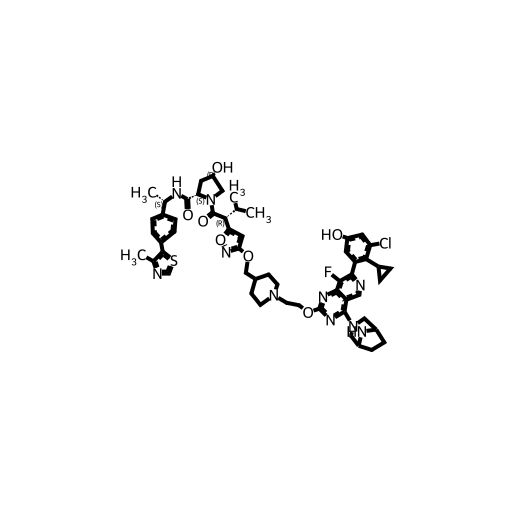 Cc1ncsc1-c1ccc([C@H](C)NC(=O)[C@@H]2C[C@@H](O)CN2C(=O)[C@@H](c2cc(OCC3CCN(CCOc4nc(N5CC6CCC(C5)N6)c5cnc(-c6cc(O)cc(Cl)c6C6CC6)c(F)c5n4)CC3)no2)C(C)C)cc1